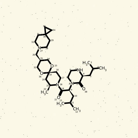 CC(C)C[C@@H]1NCCN([C@@H](CC(C)C)C(=O)N2CC[C@]3(C[C@@H]2C)OC[C@H](CN2CCC4(CC2)CC4)CO3)C1=O